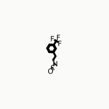 O=C=NCCc1cccc(C(F)(F)F)c1